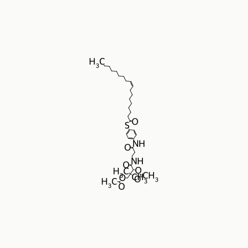 CCCCCCCC/C=C\CCCCCCCC(=O)Sc1ccc(NC(=O)CCNC(=O)C(OC(C)=O)C(C)(C)COC(C)=O)cc1